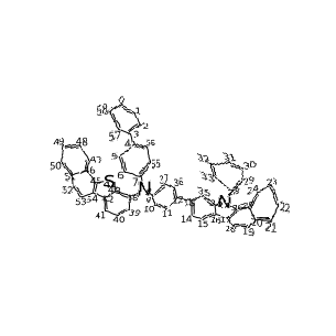 c1ccc(-c2ccc(N(c3ccc(-c4ccc5c6ccc7ccccc7c6n(-c6ccccc6)c5c4)cc3)c3cccc4c3sc3c5ccccc5ccc43)cc2)cc1